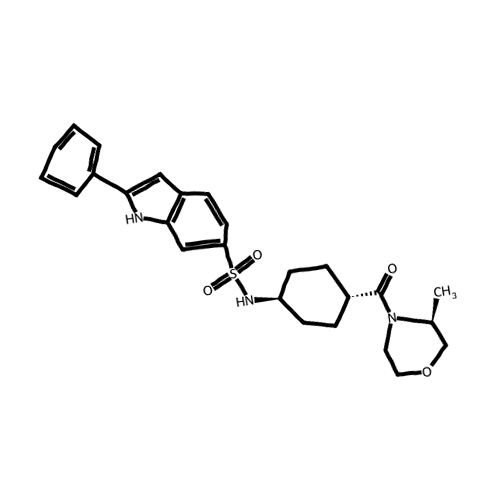 C[C@H]1COCCN1C(=O)[C@H]1CC[C@H](NS(=O)(=O)c2ccc3cc(-c4ccccc4)[nH]c3c2)CC1